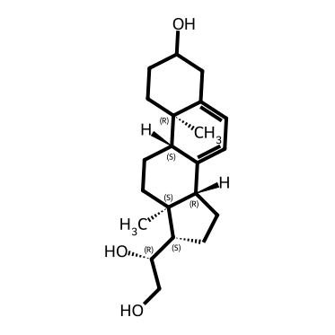 C[C@]12CC[C@H]3C(=CC=C4CC(O)CC[C@@]43C)[C@@H]1CC[C@@H]2[C@@H](O)CO